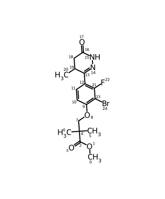 COC(=O)C(C)(C)COc1ccc(C2=NNC(=O)CC2C)c(F)c1Br